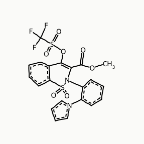 COC(=O)C1=C(OS(=O)(=O)C(F)(F)F)c2ccccc2S(=O)(=O)N1c1ccccc1-n1cccc1